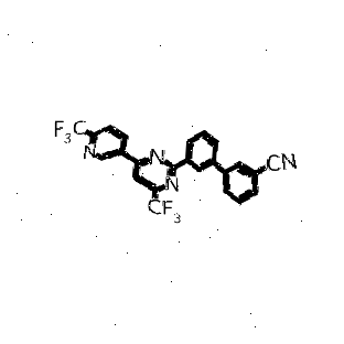 N#Cc1cccc(-c2cccc(-c3nc(-c4ccc(C(F)(F)F)nc4)cc(C(F)(F)F)n3)c2)c1